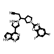 N#CCC(C1CCN(c2nc3cc(F)cc(F)c3o2)C1)N1C=C(c2ncnc3[nH]ccc23)CN1